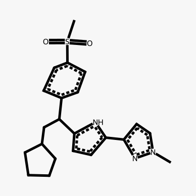 Cn1ccc(-c2ccc(C(CC3CCCC3)c3ccc(S(C)(=O)=O)cc3)[nH]2)n1